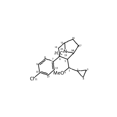 COC(C1CC1)C1C(c2ccc(Cl)cc2)CC2CCC1N2C